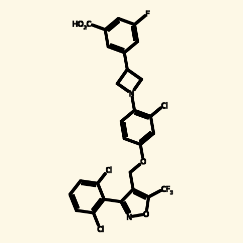 O=C(O)c1cc(F)cc(C2CN(c3ccc(OCc4c(-c5c(Cl)cccc5Cl)noc4C(F)(F)F)cc3Cl)C2)c1